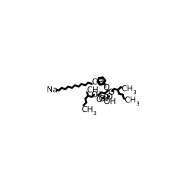 CCCCC(CC)COC(=O)CC(C(=O)OCC(CC)CCCC)S(=O)(=O)O.CCCCCCCCCCC[CH2][Na].c1ccccc1